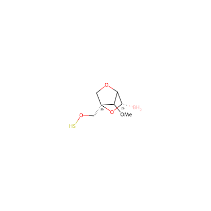 B[C@@H]1O[C@@]2(COS)COC1C2OC